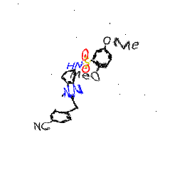 COc1ccc(OC)c(S(=O)(=O)Nc2ccc3c(c2)nc(Cc2ccc(C#N)cc2)n3C)c1